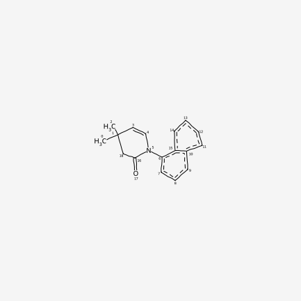 CC1(C)C=CN(c2cccc3ccccc23)C(=O)C1